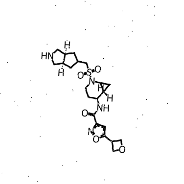 O=C(N[C@H]1CCN(S(=O)(=O)CC2C[C@H]3CNC[C@H]3C2)[C@@H]2C[C@H]12)c1cc(C2COC2)on1